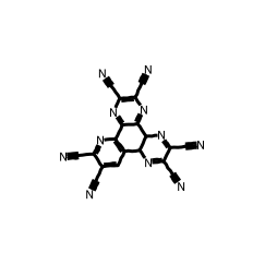 N#CC1=NC2c3cc(C#N)c(C#N)nc3-c3nc(C#N)c(C#N)nc3C2N=C1C#N